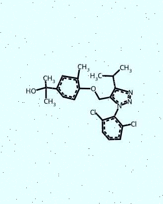 Cc1cc(C(C)(C)O)ccc1OCc1c(C(C)C)nnn1-c1c(Cl)cccc1Cl